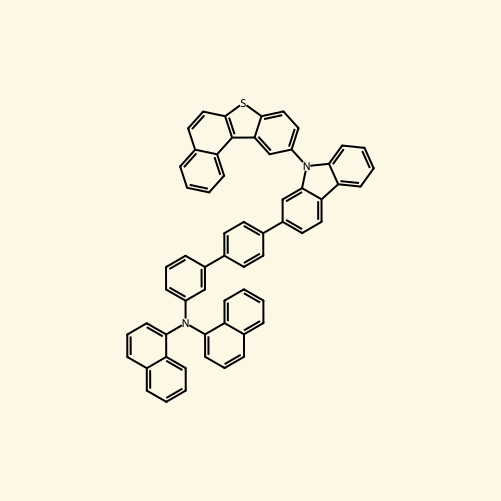 c1cc(-c2ccc(-c3ccc4c5ccccc5n(-c5ccc6sc7ccc8ccccc8c7c6c5)c4c3)cc2)cc(N(c2cccc3ccccc23)c2cccc3ccccc23)c1